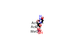 COP(=O)(O)OC[C@H]1O[C@@H](n2ccc(=O)[nH]c2=O)[C@H](OC(C)=O)[C@@H]1OC(C)=O